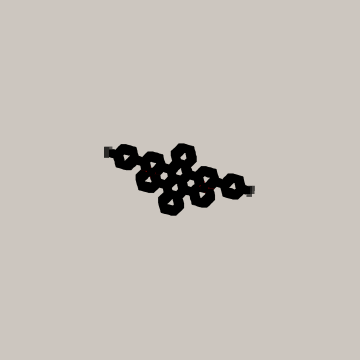 Fc1ccc(-c2ccc(-c3c4ccccc4c(-c4ccc(-c5ccc(F)cc5)cc4)c4c(-c5ccccc5)c5ccccc5c(-c5ccccc5)c34)cc2)cc1